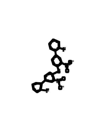 O=[N+]([O-])c1cc(-c2ccccc2F)ccc1Sc1ccc(-c2ccccc2F)cc1[N+](=O)[O-]